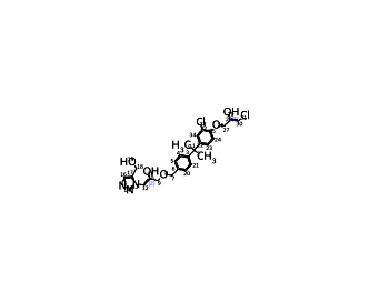 CC(C)(c1ccc(COC/C(O)=C/n2nncc2CO)cc1)c1ccc(OC/C(O)=C/Cl)c(Cl)c1